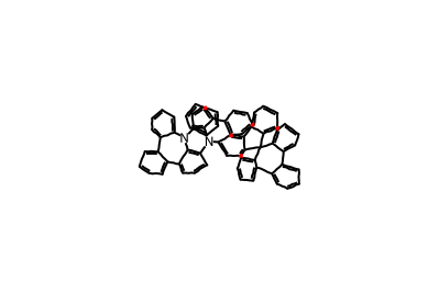 c1ccc(-c2ccccc2N(c2ccc3c(c2)-c2ccccc2C32c3ccccc3-c3ccccc3-c3ccccc32)c2cccc3c2N(c2ccccc2)c2ccccc2-c2ccccc2-3)cc1